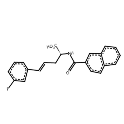 O=C(N[C@H](CC=Cc1cccc(F)c1)C(=O)O)c1ccc2ccccc2c1